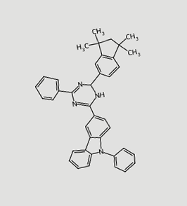 CC1(C)CC(C)(C)c2cc(C3N=C(c4ccccc4)N=C(c4ccc5c(c4)c4ccccc4n5-c4ccccc4)N3)ccc21